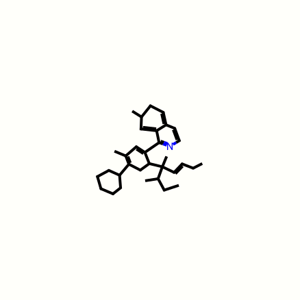 CCC=CC(C)(C(C)CC)C1CC(C2CCCCC2)=C(C)C=C1c1nccc2c1=CC(C)CC=2